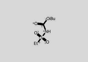 CCS(=O)(=O)NC(=O)OCC(C)C